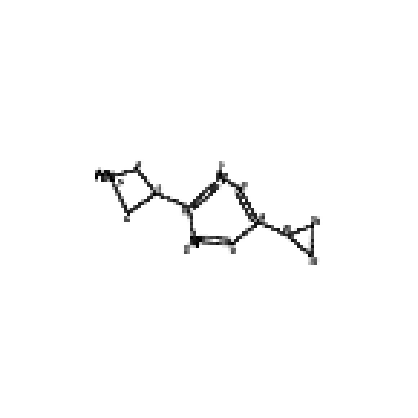 c1nc(C2CNC2)ncc1C1CC1